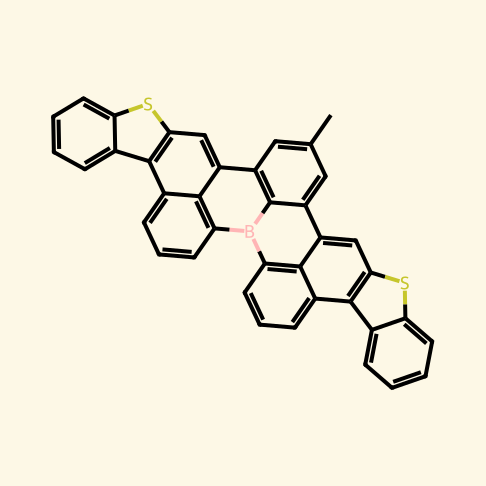 Cc1cc2c3c(c1)-c1cc4sc5ccccc5c4c4cccc(c14)B3c1cccc3c1c-2cc1sc2ccccc2c13